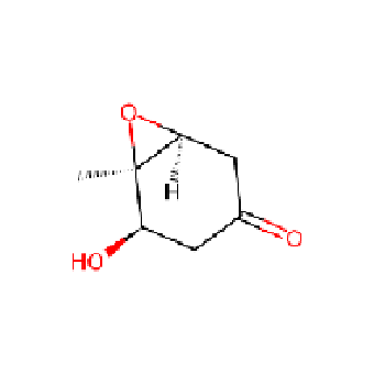 C[C@]12O[C@H]1CC(=O)C[C@H]2O